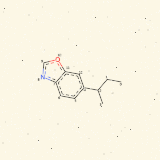 CCC(C)c1ccc2ncoc2c1